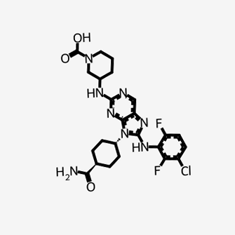 NC(=O)[C@H]1CC[C@H](n2c(Nc3c(F)ccc(Cl)c3F)nc3cnc(NC4CCCN(C(=O)O)C4)nc32)CC1